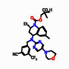 CC[C@@H]1C[C@H](N(Cc2cc(C#N)cc(C(F)(F)F)c2)c2ncc(N3CCOCC3)cn2)c2cc(C)ccc2N1C(=O)OCC(C)(C)C(=O)O